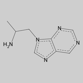 CC(N)Cn1cnc2cncnc21